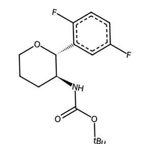 CC(C)(C)OC(=O)N[C@H]1CCCO[C@@H]1c1cc(F)ccc1F